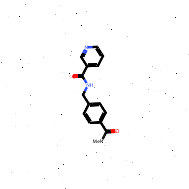 CNC(=O)c1ccc(CNC(=O)c2cccnc2)cc1